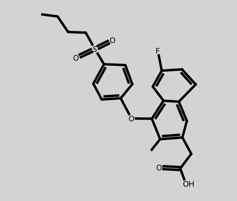 CCCCS(=O)(=O)c1ccc(Oc2c(C)c(CC(=O)O)cc3ccc(F)cc23)cc1